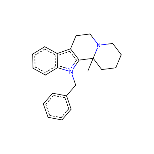 CC12CCCCN1CCc1c2n(Cc2ccccc2)c2ccccc12